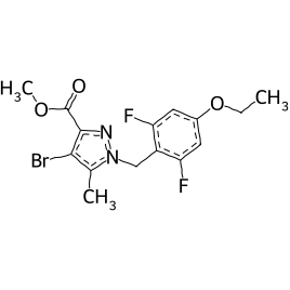 CCOc1cc(F)c(Cn2nc(C(=O)OC)c(Br)c2C)c(F)c1